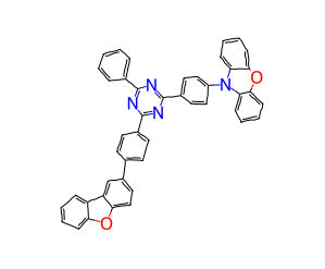 c1ccc(-c2nc(-c3ccc(-c4ccc5oc6ccccc6c5c4)cc3)nc(-c3ccc(N4c5ccccc5Oc5ccccc54)cc3)n2)cc1